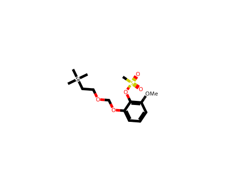 COc1cccc(OCOCC[Si](C)(C)C)c1OS(C)(=O)=O